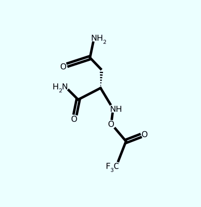 NC(=O)C[C@H](NOC(=O)C(F)(F)F)C(N)=O